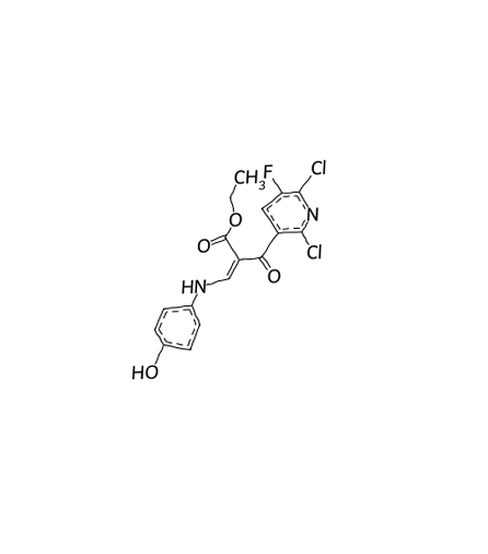 CCOC(=O)C(=CNc1ccc(O)cc1)C(=O)c1cc(F)c(Cl)nc1Cl